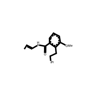 CC=CNC(=O)c1cccc(OC)c1CCC(C)C